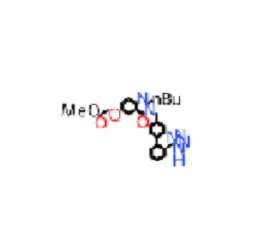 CCCCc1nc2ccc(OCC(=O)OC)cc2c(=O)n1Cc1ccc(-c2ccccc2-c2nnn[nH]2)cc1